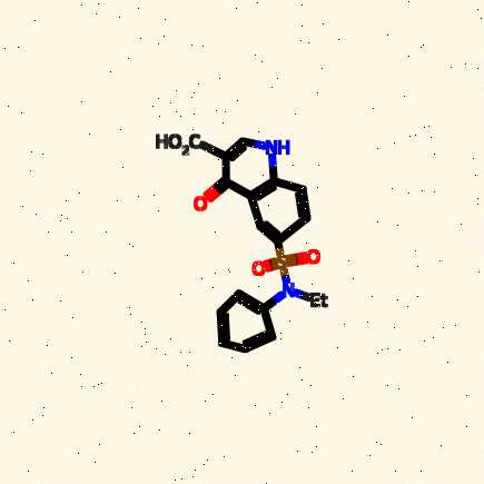 CCN(c1ccccc1)S(=O)(=O)c1ccc2[nH]cc(C(=O)O)c(=O)c2c1